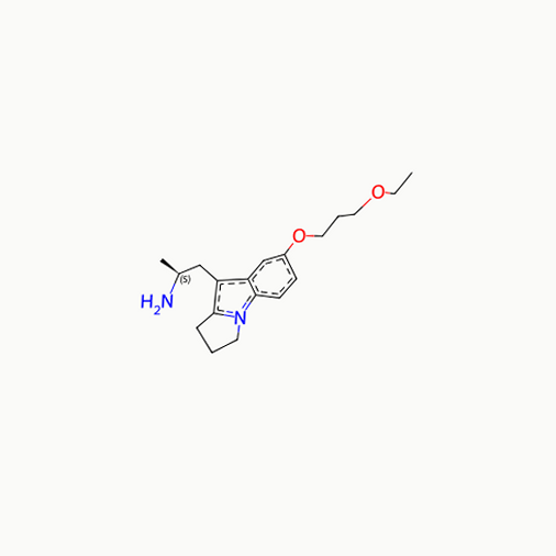 CCOCCCOc1ccc2c(c1)c(C[C@H](C)N)c1n2CCC1